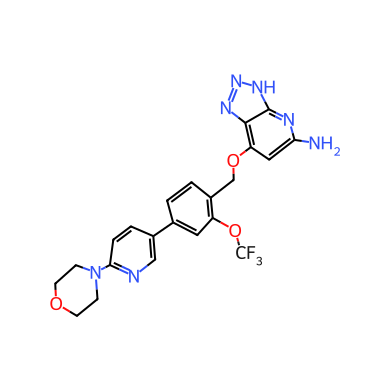 Nc1cc(OCc2ccc(-c3ccc(N4CCOCC4)nc3)cc2OC(F)(F)F)c2nn[nH]c2n1